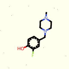 CN1CCN(Cc2ccc(O)c(F)c2)CC1